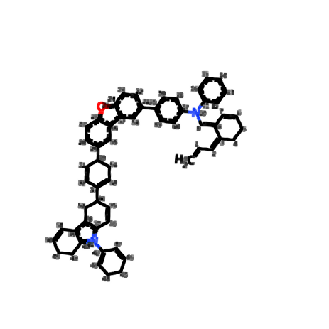 C=C/C=C1/CCC=C/C1=C\N(c1ccccc1)c1ccc(-c2ccc3oc4ccc(C5C=CC(C6C=Cc7c(c8c(n7C7=CCCC=C7)CCC=C8)C6)=CC5)cc4c3c2)cc1